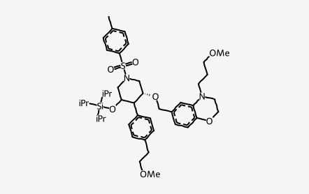 COCCCN1CCOc2ccc(CO[C@H]3CN(S(=O)(=O)c4ccc(C)cc4)CC(O[Si](C(C)C)(C(C)C)C(C)C)C3c3ccc(CCOC)cc3)cc21